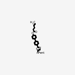 C/C=C/CCC(=O)Oc1ccc(-c2ccc(-c3ncc(CCCCC)s3)cc2)cc1